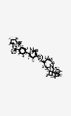 O=C(c1ccc(-c2ccc(OCC3CCCN(CC4(C(F)(F)F)CCC4)CC3)cn2)cc1F)N1CCCC1